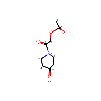 CC(=O)OCC(=O)N1CCC(=O)CC1